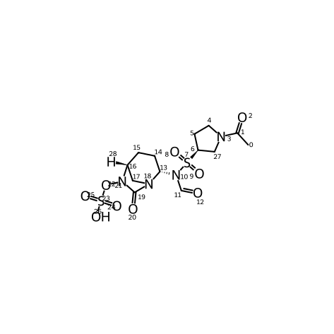 CC(=O)N1CC[C@H](S(=O)(=O)N(C=O)[C@H]2CC[C@@H]3CN2C(=O)N3OS(=O)(=O)O)C1